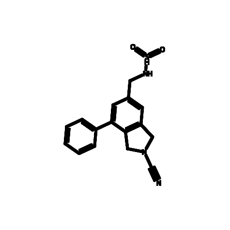 N#CN1Cc2cc(CN[SH](=O)=O)cc(-c3ccccc3)c2C1